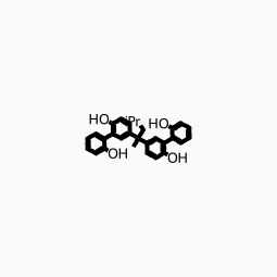 CC(C)CC(C)(c1ccc(O)c(-c2ccccc2O)c1)c1ccc(O)c(-c2ccccc2O)c1